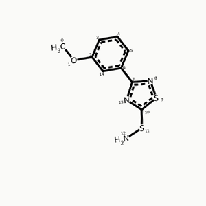 COc1cccc(-c2nsc(SN)n2)c1